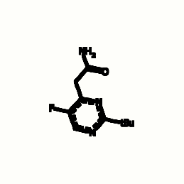 CC(C)(C)c1ncc(F)c(CC(N)=O)n1